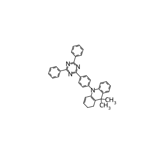 CC1(C)C2=C(C=CCC2)N(c2ccc(-c3nc(-c4ccccc4)nc(-c4ccccc4)n3)cc2)c2ccccc21